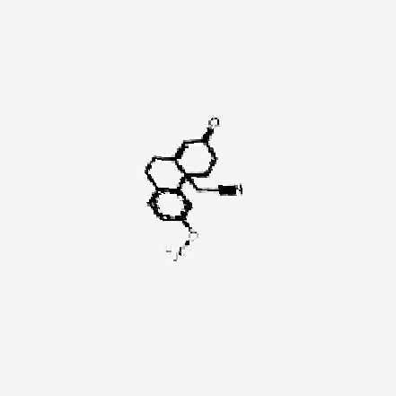 COc1ccc2c(c1)C1(CC#N)CCC(=O)C=C1CC2